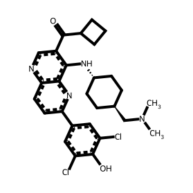 CN(C)C[C@H]1CC[C@H](Nc2c(C(=O)C3CCC3)cnc3ccc(-c4cc(Cl)c(O)c(Cl)c4)nc23)CC1